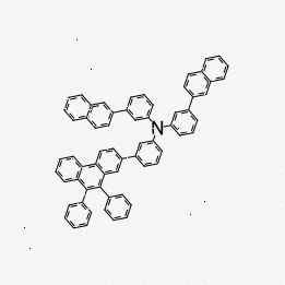 c1ccc(-c2c(-c3ccccc3)c3cc(-c4cccc(N(c5cccc(-c6ccc7ccccc7c6)c5)c5cccc(-c6ccc7ccccc7c6)c5)c4)ccc3c3ccccc23)cc1